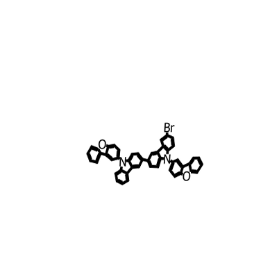 Brc1ccc2c(c1)c1cc(-c3ccc4c(c3)c3ccccc3n4-c3ccc4oc5ccccc5c4c3)ccc1n2-c1ccc2oc3ccccc3c2c1